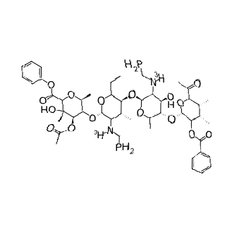 [3H]N(CP)C1[C@H](OC2[C@H](C)OC(C(=O)Oc3ccccc3)[C@@](C)(O)[C@@H]2OC(C)=O)OC(CC)[C@@H](O[C@@H]2OC(C)[C@@H](O[C@@H]3OC(C(C)=O)[C@H](C)[C@H](C)C3OC(=O)c3ccccc3)[C@H](O)C2N([3H])CP)[C@@H]1C